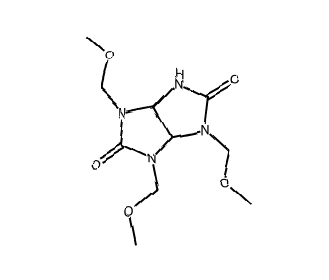 COCN1C(=O)N(COC)C2C1NC(=O)N2COC